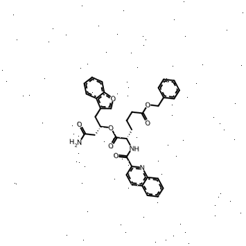 NC(=O)C[C@H](Cc1coc2ccccc12)OC(=O)[C@H](CCCC(=O)OCc1ccccc1)NC(=O)c1ccc2ccccc2n1